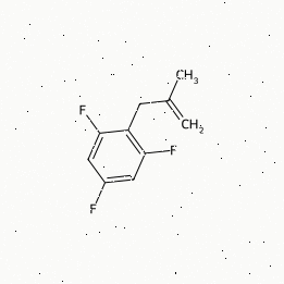 C=C(C)Cc1c(F)cc(F)cc1F